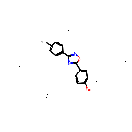 CCCCc1ccc(-c2noc(-c3ccc(O)cc3)n2)cc1